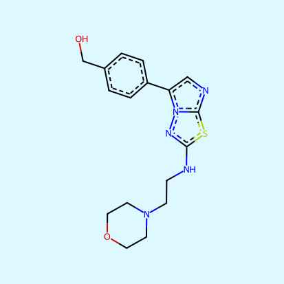 OCc1ccc(-c2cnc3sc(NCCN4CCOCC4)nn23)cc1